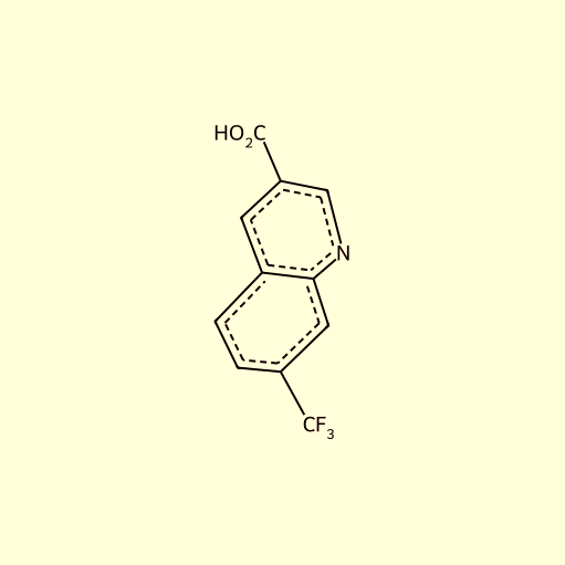 O=C(O)c1cnc2cc(C(F)(F)F)ccc2c1